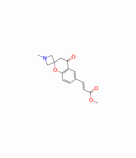 COC(=O)C=Cc1ccc2c(c1)C(=O)CC1(CN(C)C1)O2